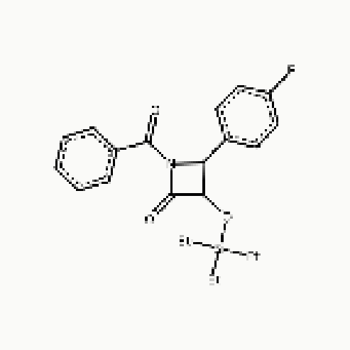 CC[Si](CC)(CC)OC1C(=O)N(C(=O)c2ccccc2)C1c1ccc(F)cc1